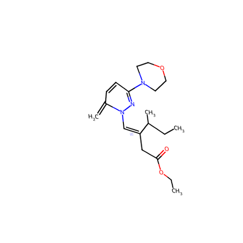 C=C1C=CC(N2CCOCC2)=NN1/C=C(/CC(=O)OCC)C(C)CC